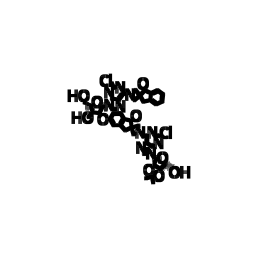 CC1(C)OC2C(O1)[C@@H](CO)O[C@H]2n1cnc2c(N3CC4(Cc5cc(OC6C(O)[C@@H](CO)O[C@H]6n6cnc7c(N8CC9(Cc%10ccccc%10C9=O)C8)nc(Cl)nc76)ccc5C4=O)C3)nc(Cl)nc21